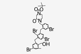 Cc1cc(Br)cc(Cc2cc(Br)cc(Cc3cc(Br)ccc3CN3CCN(C(=O)OC(C)(C)C)CC3=O)c2CBr)c1CO